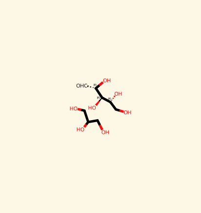 O=C[C@H](O)[C@H](O)[C@H](O)CO.OCC(O)CO